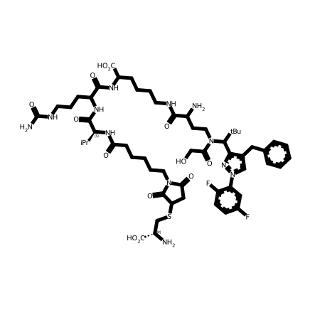 CC(C)[C@H](NC(=O)CCCCCN1C(=O)CC(SC[C@H](N)C(=O)O)C1=O)C(=O)NC(CCCNC(N)=O)C(=O)NC(CCCCNC(=O)C(N)CCN(C(=O)CO)C(c1nn(-c2cc(F)ccc2F)cc1Cc1ccccc1)C(C)(C)C)C(=O)O